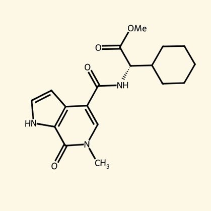 COC(=O)[C@@H](NC(=O)c1cn(C)c(=O)c2[nH]ccc12)C1CCCCC1